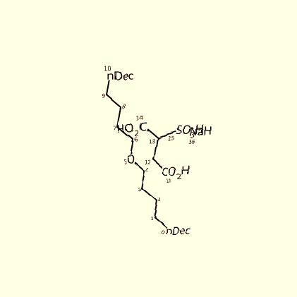 CCCCCCCCCCCCCCOCCCCCCCCCCCCCC.O=C(O)CC(C(=O)O)S(=O)(=O)O.[NaH]